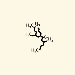 CCCCC(CC)C[C](C)C(CCCC)CC(CC)CCCC